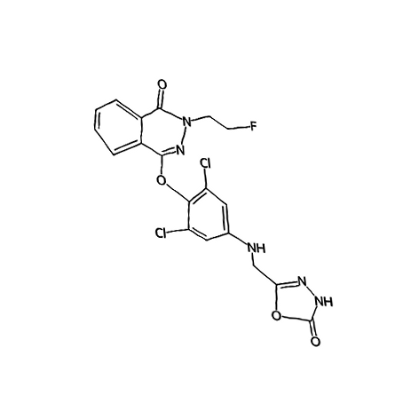 O=c1[nH]nc(CNc2cc(Cl)c(Oc3nn(CCF)c(=O)c4ccccc34)c(Cl)c2)o1